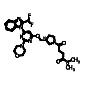 CN(C)C(=O)CCC(=O)N1CC[C@H](COc2cc(-n3c(C(F)F)nc4ccccc43)nc(N3CCOCC3)n2)C1